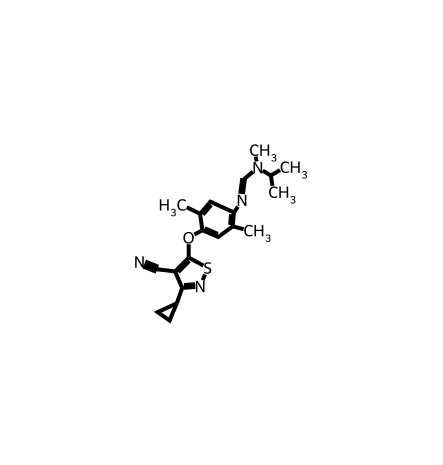 Cc1cc(Oc2snc(C3CC3)c2C#N)c(C)cc1N=CN(C)C(C)C